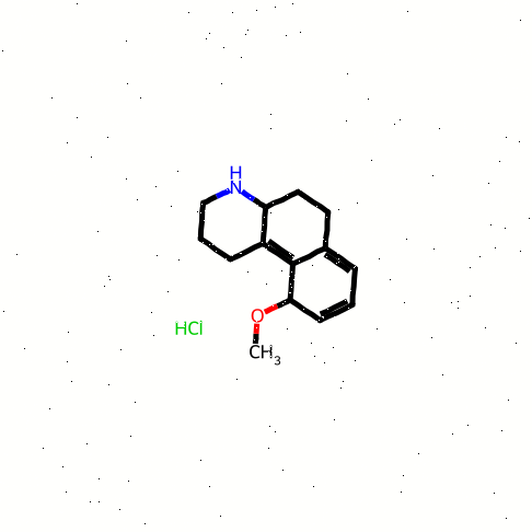 COC1C=CC=C2CCC3NCCCC3=C21.Cl